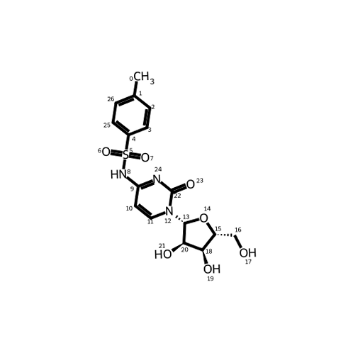 Cc1ccc(S(=O)(=O)Nc2ccn([C@@H]3O[C@H](CO)[C@@H](O)[C@H]3O)c(=O)n2)cc1